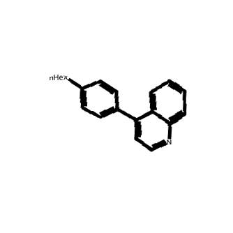 CCCCCCc1ccc(-c2ccnc3ccccc23)cc1